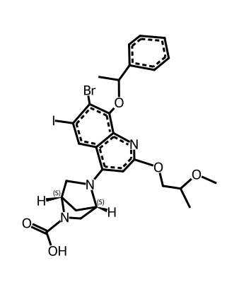 COC(C)COc1cc(N2C[C@@H]3C[C@H]2CN3C(=O)O)c2cc(I)c(Br)c(OC(C)c3ccccc3)c2n1